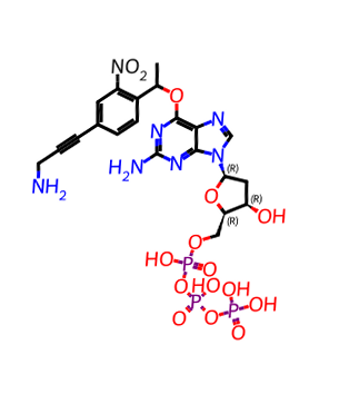 CC(Oc1nc(N)nc2c1ncn2[C@H]1C[C@@H](O)[C@@H](COP(=O)(O)OP(=O)(O)OP(=O)(O)O)O1)c1ccc(C#CCN)cc1[N+](=O)[O-]